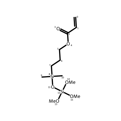 C=CC(=O)OCCC[Si](C)(C)O[Si](OC)(OC)OC